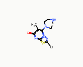 CCc1nn2c(N3CCNCC3)c(C)c(=O)nc2s1